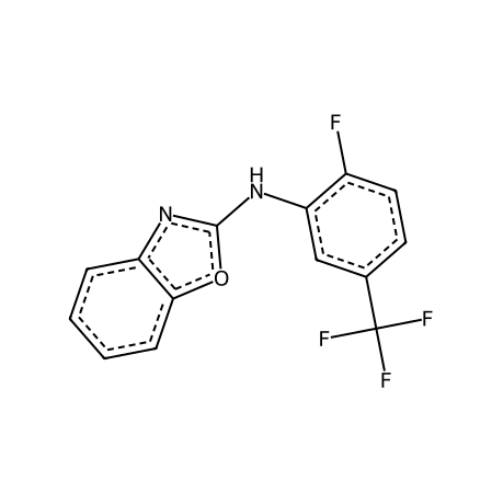 Fc1ccc(C(F)(F)F)cc1Nc1nc2ccccc2o1